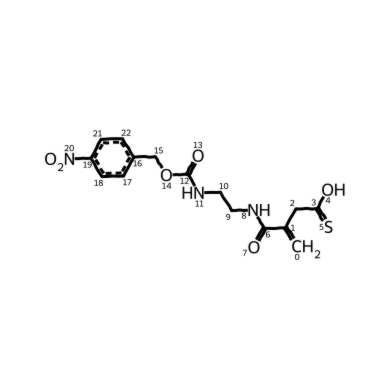 C=C(CC(O)=S)C(=O)NCCNC(=O)OCc1ccc([N+](=O)[O-])cc1